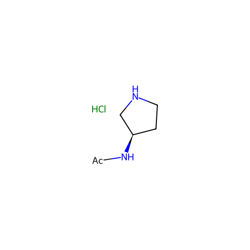 CC(=O)N[C@@H]1CCNC1.Cl